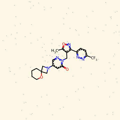 Cc1onc(-c2ccc(C(F)(F)F)nn2)c1Cn1ncc(N2CC3(CCCCO3)C2)cc1=O